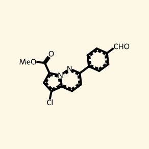 COC(=O)c1cc(Cl)c2ccc(-c3ccc(C=O)cc3)nn12